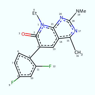 CCn1c(=O)c(-c2ccc(F)cc2F)cc2c(C)nc(NC)nc21